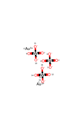 [Au+3].[Au+3].[O]=[W](=[O])([O-])[O-].[O]=[W](=[O])([O-])[O-].[O]=[W](=[O])([O-])[O-]